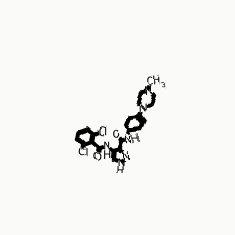 CN1CCN(c2ccc(NC(=O)c3n[nH]cc3NC(=O)c3c(Cl)cccc3Cl)cc2)CC1